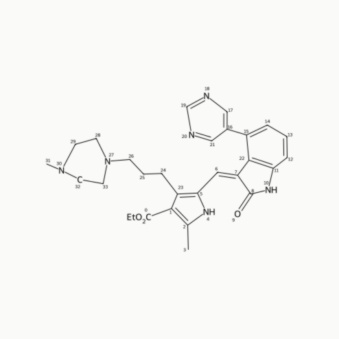 CCOC(=O)c1c(C)[nH]c(C=C2C(=O)Nc3cccc(-c4cncnc4)c32)c1CCCN1CCN(C)CC1